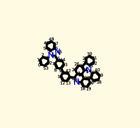 c1ccc(-n2c(-c3ccc(-c4cccc(-c5nc6ccccc6c6c5ccc5c7ccccc7n(-c7ccccc7)c56)c4)cc3)nc3ccccc32)cc1